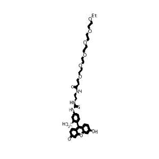 CCOCCOCCOCCOCCOCCOCCC(=O)NCCNC(=S)Nc1ccc(-c2c3ccc(=O)cc-3oc3cc(O)ccc23)c(C(=O)O)c1